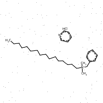 CCCCCCCCCCCCCCCC[N+](C)(C)Cc1ccccc1.Cl.c1ccncc1